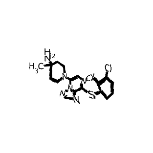 CC1(N)CCN(c2cnc(Sc3cccc(Cl)c3Cl)c3ncnn23)CC1